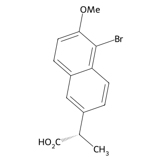 COc1ccc2cc([C@H](C)C(=O)O)ccc2c1Br